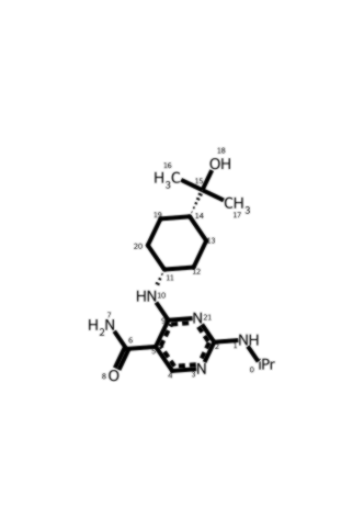 CC(C)Nc1ncc(C(N)=O)c(N[C@H]2CC[C@@H](C(C)(C)O)CC2)n1